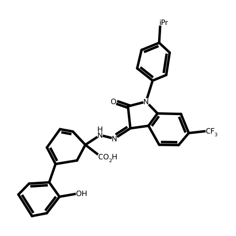 CC(C)c1ccc(N2C(=O)/C(=N\NC3(C(=O)O)C=CC=C(c4ccccc4O)C3)c3ccc(C(F)(F)F)cc32)cc1